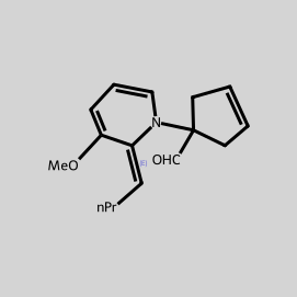 CCC/C=C1\C(OC)=CC=CN1C1(C=O)CC=CC1